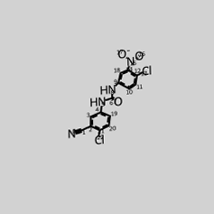 N#Cc1cc(NC(=O)Nc2ccc(Cl)c([N+](=O)[O-])c2)ccc1Cl